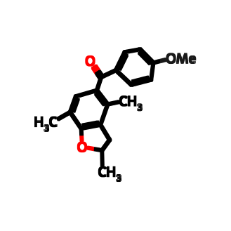 COc1ccc(C(=O)c2cc(C)c3c(c2C)CC(C)O3)cc1